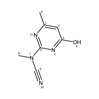 Cc1cc(O)nc(N(C)C#N)n1